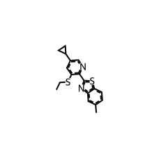 CCSc1cc(C2CC2)cnc1-c1nc2cc(C)ccc2s1